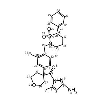 Cc1cc(N)nn1C(=O)C1(c2ccc(CN3[C@@H](C)CC[C@H](c4ccccc4)S3(=O)=O)c(F)c2)CCOCC1